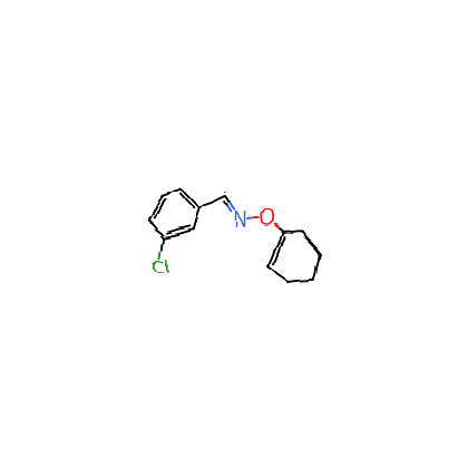 Clc1cccc([C]=NOC2=CCCCC2)c1